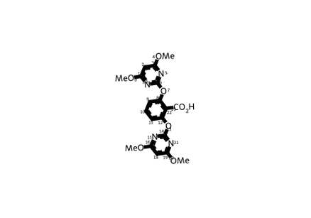 COc1cc(OC)nc(Oc2cccc(Oc3nc(OC)cc(OC)n3)c2C(=O)O)n1